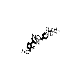 CC(O)C(=O)N1CCC(COc2ncc(-c3cccc(CO)c3F)cn2)CC1